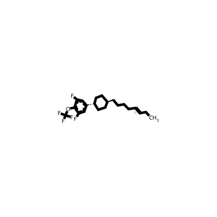 CC/C=C/CCCC[C@H]1CC[C@H](c2cc(F)c(OC(F)(F)F)c(F)c2)CC1